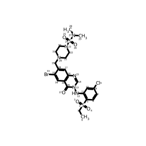 CCS(=O)(=O)c1ccc(Cl)cc1Nn1cnc2cc(CN3CCN(S(=O)(=O)N(C)C)CC3)c(Br)cc2c1=O